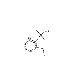 CCc1cccnc1C(C)(C)S